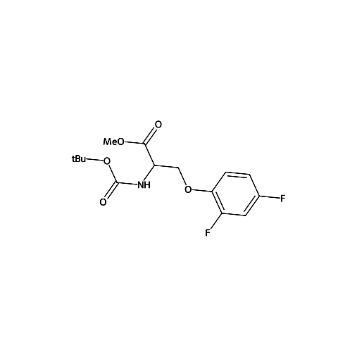 COC(=O)C(COc1ccc(F)cc1F)NC(=O)OC(C)(C)C